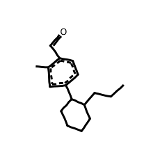 CCCC1CCCCC1c1ccc(C=O)c(C)c1